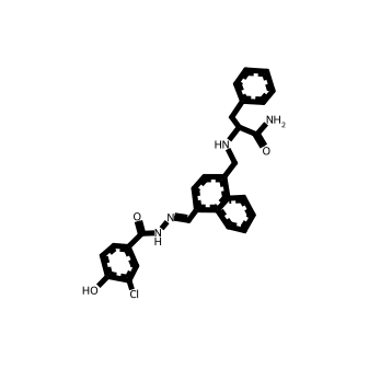 NC(=O)C(Cc1ccccc1)NCc1ccc(/C=N/NC(=O)c2ccc(O)c(Cl)c2)c2ccccc12